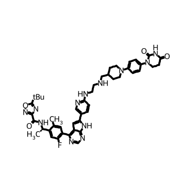 Cc1cc(-c2ncnc3[nH]c(-c4ccc(NCCNCC5CCN(c6ccc(N7CCC(=O)NC7=O)cc6)CC5)nc4)cc23)c(F)cc1[C@@H](C)NC(=O)c1noc(C(C)(C)C)n1